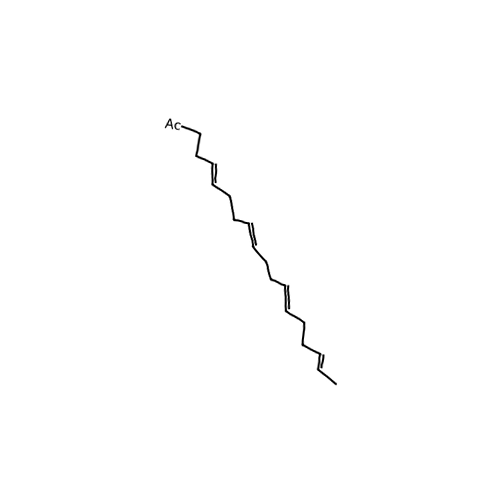 CC=CCCC=CCCC=CCCC=CCCC(C)=O